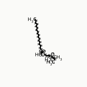 CCCCCCCCCCCCCCCCCCOP(=O)(O)OCCCOC(=O)C(C)(C)CC